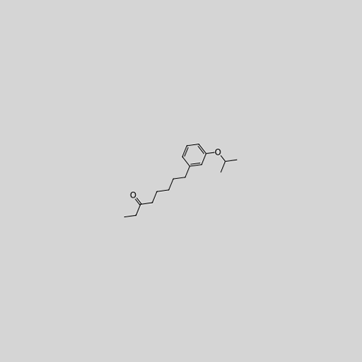 CCC(=O)CCCCCc1cccc(OC(C)C)c1